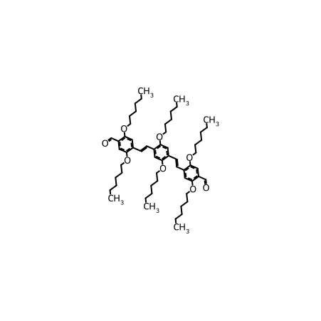 CCCCCCOc1cc(C=Cc2cc(OCCCCCC)c(C=Cc3cc(OCCCCCC)c(C=O)cc3OCCCCCC)cc2OCCCCCC)c(OCCCCCC)cc1C=O